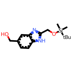 CC(C)(C)[Si](C)(C)OCc1nc2cc(CO)ccc2[nH]1